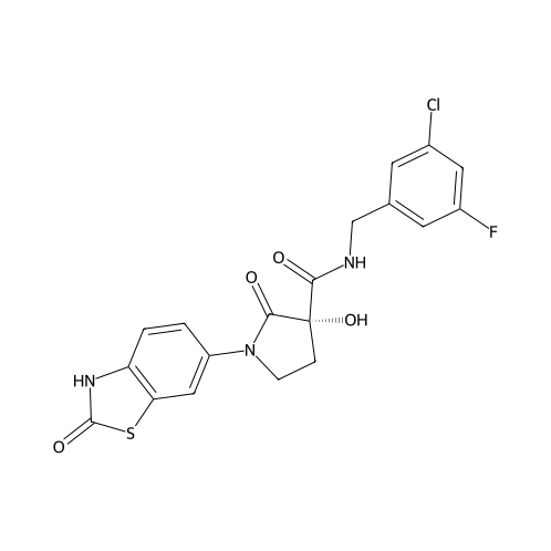 O=C(NCc1cc(F)cc(Cl)c1)[C@@]1(O)CCN(c2ccc3[nH]c(=O)sc3c2)C1=O